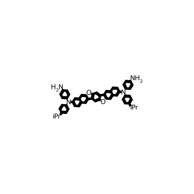 CC(C)c1ccc(N(c2ccc(N)cc2)c2ccc3cc4c(cc3c2)oc2cc3c(cc24)oc2cc4cc(N(c5ccc(N)cc5)c5ccc(C(C)C)cc5)ccc4cc23)cc1